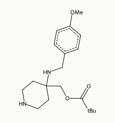 COc1ccc(CNC2(COC(=O)C(C)(C)C)CCNCC2)cc1